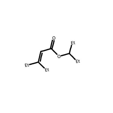 CCC(=CC(=O)OC(CC)CC)CC